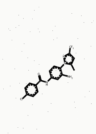 Cc1cc(C(F)(F)F)nn1-c1ccc(NC(=O)c2ccc(Cl)cc2)cc1N